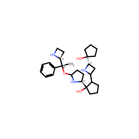 C[C@@](OC1CC[C@@H](C2(O)CCCC2C2C[C@@H](C3(O)CCCC3)N2)N1)(c1ccccc1)[C@@H]1CCN1